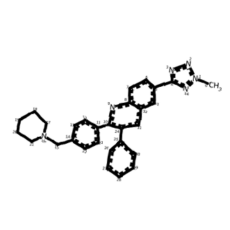 Cn1nnc(-c2ccc3nc(-c4ccc(CN5CC[CH]CC5)cc4)c(-c4ccccc4)cc3c2)n1